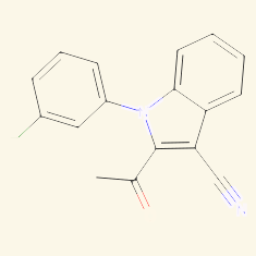 CC(=O)c1c(C#N)c2ccccc2n1-c1cccc(F)c1